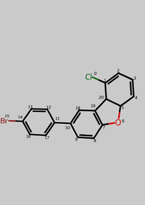 ClC1=CC=CC2Oc3ccc(-c4ccc(Br)cc4)cc3C12